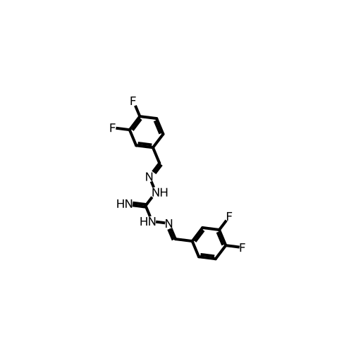 N=C(N/N=C/c1ccc(F)c(F)c1)N/N=C/c1ccc(F)c(F)c1